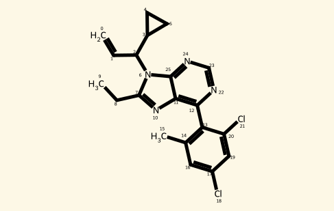 C=CC(C1CC1)n1c(CC)nc2c(-c3c(C)cc(Cl)cc3Cl)ncnc21